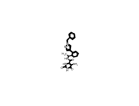 CC(NC(=O)c1[nH]c(=O)[nH]c(=O)c1N)c1ccccc1-c1cnn(Cc2ccccc2)c1